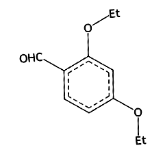 CCOc1ccc(C=O)c(OCC)c1